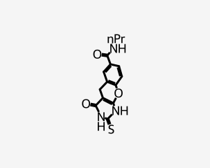 CCCNC(=O)c1ccc2c(c1)Cc1c([nH]c(=S)[nH]c1=O)O2